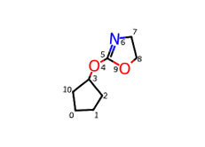 C1CCC(OC2=NCCO2)C1